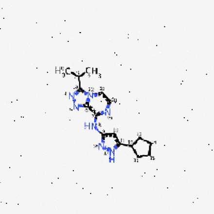 CC(C)c1nnc2c(Nc3cc(C4CCCC4)[nH]n3)nccn12